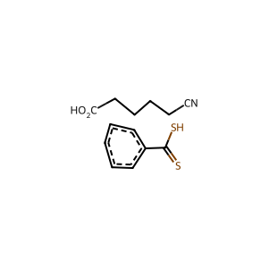 N#CCCCCC(=O)O.S=C(S)c1ccccc1